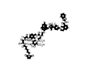 Cc1c(-c2ccc(N3CCc4cccc(C(=O)Nc5nc6ccccc6s5)c4C3)nc2C(=O)O)cnn1CC12CC3(C)CC(C)(C1)CC(OCCN(CCS(=O)(=O)O)C(=O)OCc1ccc(NC(=O)[C@H](C)NC(=O)[C@@H](NC(=O)CCCCCN4C(=O)C=CC4=O)C(C)C)cc1C[C@@H]1O[C@H](C(=O)O)[C@@H](O)[C@H](O)[C@H]1O)(C3)C2